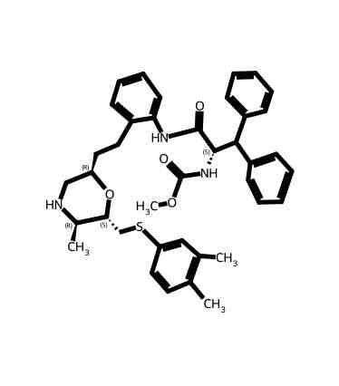 COC(=O)N[C@H](C(=O)Nc1ccccc1CC[C@@H]1CN[C@H](C)[C@@H](CSc2ccc(C)c(C)c2)O1)C(c1ccccc1)c1ccccc1